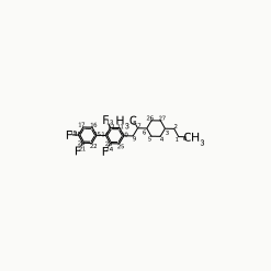 CCCC1CCC(C(C)Cc2cc(F)c(-c3ccc(F)c(F)c3)c(F)c2)CC1